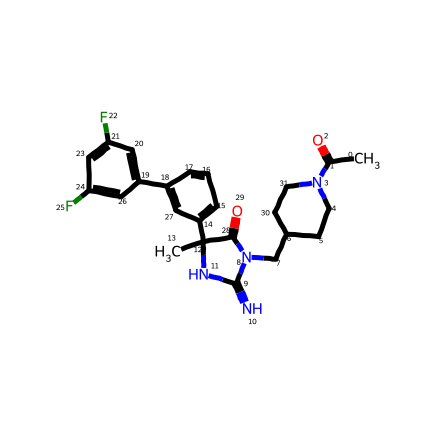 CC(=O)N1CCC(CN2C(=N)NC(C)(c3cccc(-c4cc(F)cc(F)c4)c3)C2=O)CC1